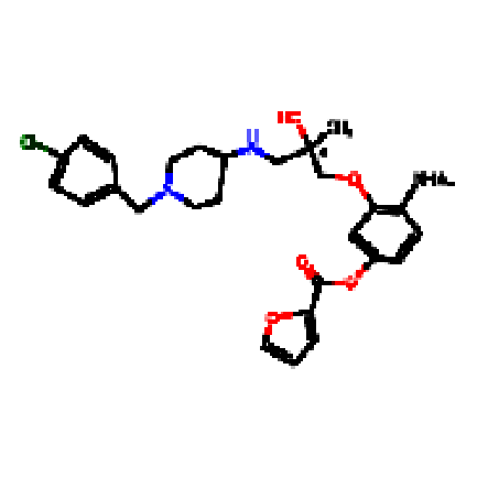 CC(=O)Nc1ccc(OC(=O)c2ccco2)cc1OC[C@@](C)(O)CNC1CCN(Cc2ccc(Cl)cc2)CC1